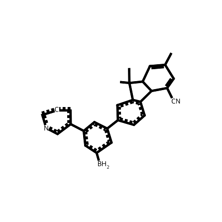 Bc1cc(-c2cccnc2)cc(-c2ccc3c(c2)C(C)(C)C2C=C(C)C=C(C#N)C32)c1